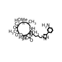 CC[C@H]1OC(=O)[C@H](C)C(=O)[C@H](C)C[C@H](OC)C[C@@H](C)CN[C@H](C)[C@H]2N(CCCCn3cc(-c4cccc(N)c4)nn3)C(=O)O[C@]12C